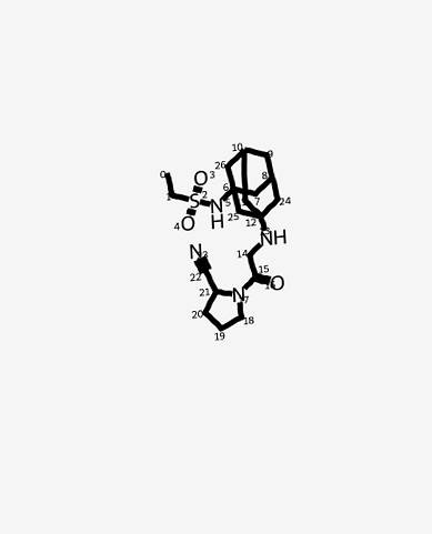 CCS(=O)(=O)NC12CC3CC(CC(NCC(=O)N4CCCC4C#N)(C3)C1)C2